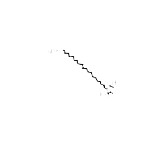 CCCCCCCCCCCCCCCCCCCCCCCCCCCCC=CN(C(C)O)C(C)O